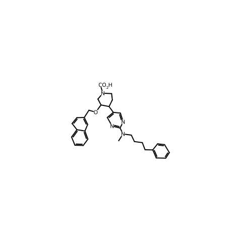 CN(CCCCc1ccccc1)c1ncc(C2CCN(C(=O)O)CC2OCc2ccc3ccccc3c2)cn1